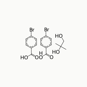 CC(C)(O)CO.O=C(O)c1ccc(Br)cc1.O=C(O)c1ccc(Br)cc1